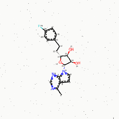 Cc1ncnc2c1ccn2[C@@H]1O[C@H](CCc2ccc(F)cc2)[C@@H](O)[C@H]1O